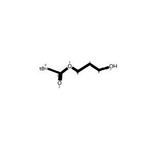 CC(C)(C)C(=O)OCCCO